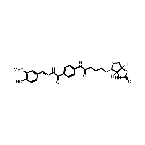 COc1cc(/C=N/NC(=O)c2ccc(NC(=O)CCCC[C@@H]3SC[C@@H]4NC(=O)N[C@@H]43)cc2)ccc1O